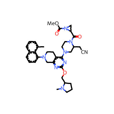 COC(=O)N1CC1C(=O)N1CCN(c2nc(OCC3CCCN3C)nc3c2CCN(c2cccc4cccc(C)c24)C3)CC1CC#N